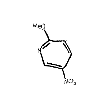 COc1[c]cc([N+](=O)[O-])cn1